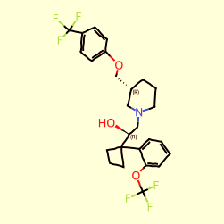 O[C@@H](CN1CCC[C@@H](COc2ccc(C(F)(F)F)cc2)C1)C1(c2ccccc2OC(F)(F)F)CCC1